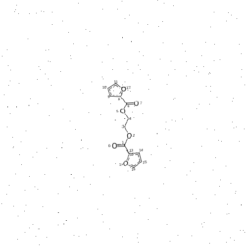 O=C(OCCOC(=O)c1ccco1)c1ccco1